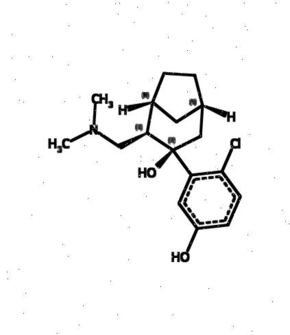 CN(C)C[C@H]1[C@@H]2CC[C@@H](C2)C[C@]1(O)c1cc(O)ccc1Cl